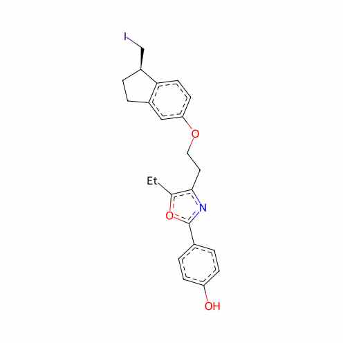 CCc1oc(-c2ccc(O)cc2)nc1CCOc1ccc2c(c1)CC[C@H]2CI